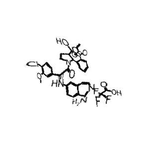 CCS(=O)(=O)c1ccccc1C1C(C(=O)O)CCN1C(=O)[C@@H](Nc1ccc2c(N)nccc2c1)c1ccc(Cl)c(OC)c1.O=C(O)C(F)(F)F